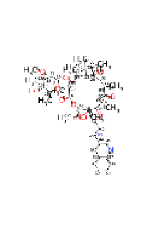 CC[C@H]1OC(=O)[C@H](C)[C@@H](O[C@H]2C[C@@](C)(OC)[C@@H](O)[C@H](C)O2)[C@H](C)C(C(C)(C)C)[C@](C)(OC)C[C@@H](C)C(=O)[C@H](C)C(OC/C=C/c2cnc3ccccc3c2)[C@]1(C)O